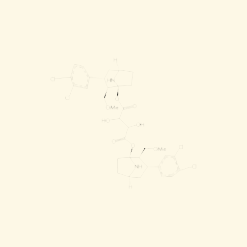 COC[C@H]1[C@H](c2ccc(Cl)c(Cl)c2)C[C@H]2CC[C@@]1(OC(=O)C(O)C(O)C(=O)O[C@@]13CC[C@H](C[C@@H](c4ccc(Cl)c(Cl)c4)[C@@H]1COC)N3)N2